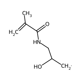 [CH2]C(O)CNC(=O)C(=C)C